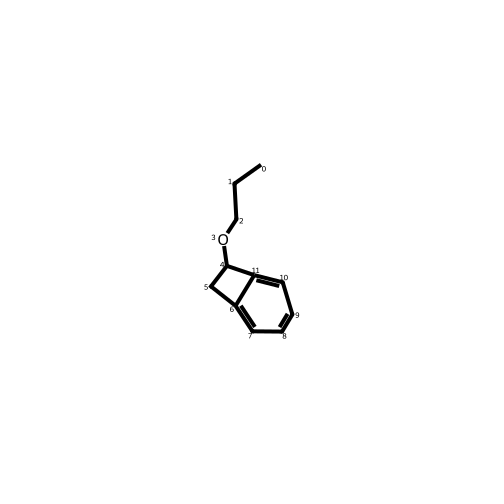 CCCOC1Cc2ccccc21